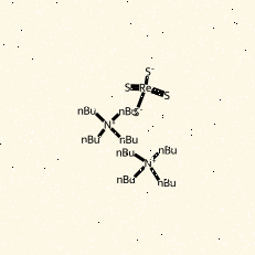 CCCC[N+](CCCC)(CCCC)CCCC.CCCC[N+](CCCC)(CCCC)CCCC.[S]=[Re](=[S])([S-])[S-]